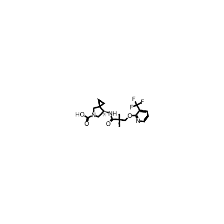 CC(C)(COc1ncccc1C(F)(F)F)C(=O)N[C@H]1CN(C(=O)O)CC12CC2